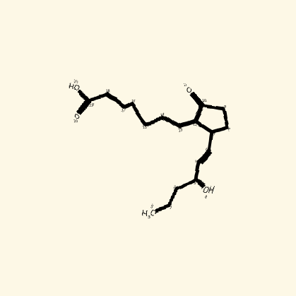 CCCC(O)C=CC1CCC(=O)C1CCCCCCC(=O)O